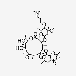 CC[C@H]1OC(=O)[C@H](C)[C@@H](OC2CC(C)(OC)C(OCCCN(C)C)C(C)O2)[C@H](C)[C@@H](OC2OC(C)CC(N(C)C)C2OC(C)=O)[C@](C)(OC)C[C@@H](C)C(=O)[C@H](C)[C@@H](O)[C@]1(C)O